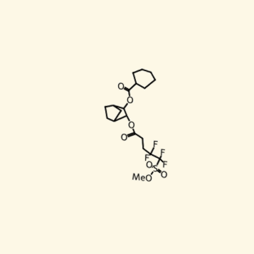 COS(=O)(=O)C(F)(F)C(F)(F)CCC(=O)OC1C2CCC(C2)C1OC(=O)C1CCCCC1